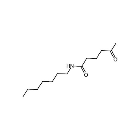 CCCCCCCNC(=O)CCCC(C)=O